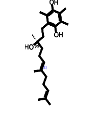 CC(C)=CCC/C(C)=C/CC[C@@](C)(O)CCc1c(C)c(O)c(C)c(C)c1O